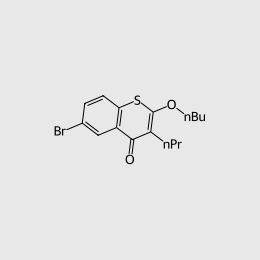 CCCCOc1sc2ccc(Br)cc2c(=O)c1CCC